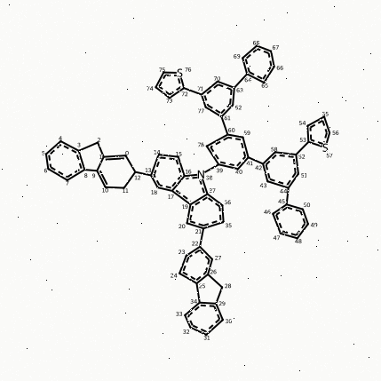 C1=C2Cc3ccccc3C2=CCC1c1ccc2c(c1)c1cc(-c3ccc4c(c3)Cc3ccccc3-4)ccc1n2-c1cc(-c2cc(-c3ccccc3)cc(-c3cccs3)c2)cc(-c2cc(-c3ccccc3)cc(-c3cccs3)c2)c1